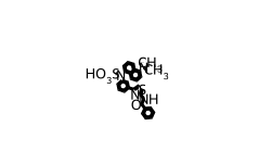 CN(C)c1cccc2c(N(c3cccc(-c4csc(NC(=O)c5ccccc5)n4)c3)S(=O)(=O)O)cccc12